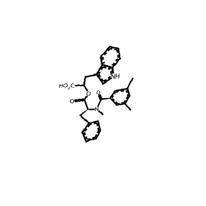 Cc1cc(C)cc(C(=O)N(C)[C@@H](Cc2ccccc2)C(=O)OC(Cc2c[nH]c3ccccc23)C(=O)O)c1